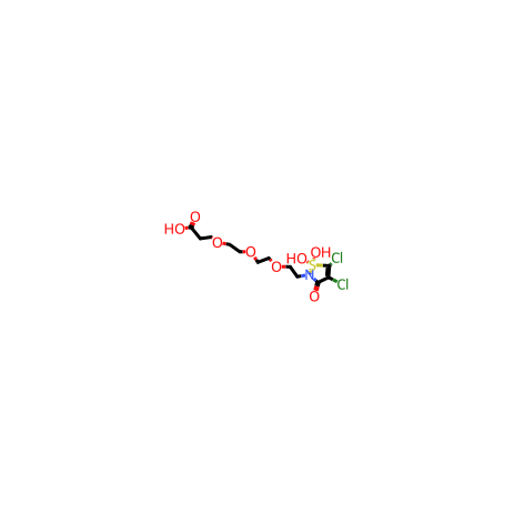 O=C(O)CCOCCOCCOCCN1C(=O)C(Cl)=C(Cl)S1(O)O